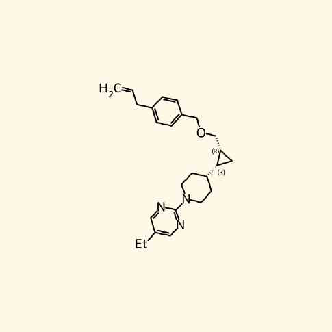 C=CCc1ccc(COC[C@@H]2C[C@@H]2C2CCN(c3ncc(CC)cn3)CC2)cc1